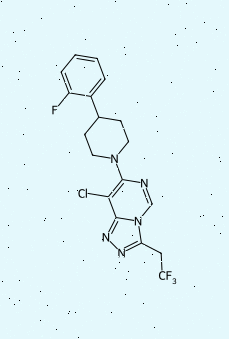 Fc1ccccc1C1CCN(c2ncn3c(CC(F)(F)F)nnc3c2Cl)CC1